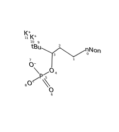 CCCCCCCCCCCC(OP(=O)([O-])[O-])C(C)(C)C.[K+].[K+]